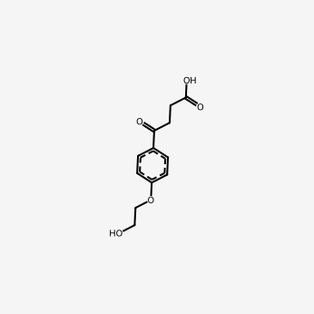 O=C(O)CCC(=O)c1ccc(OCCO)cc1